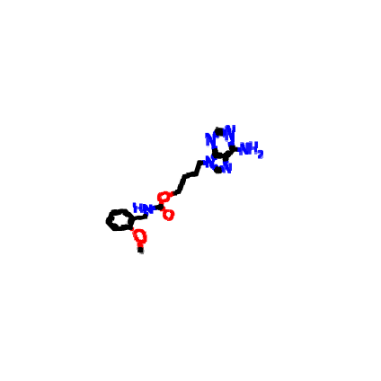 COc1ccccc1CNC(=O)OCCCCn1cnc2c(N)ncnc21